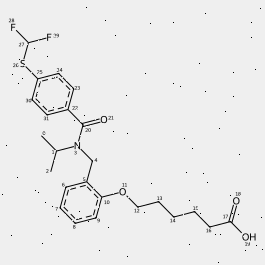 CC(C)N(Cc1ccccc1OCCCCCC(=O)O)C(=O)c1ccc(SC(F)F)cc1